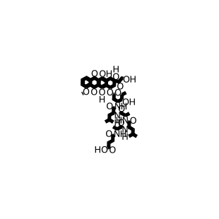 COc1cccc2c1C(=O)c1c(O)c3c(c(O)c1C2=O)CC(O)(C(=O)CO)CC3OC1CC(NC(=O)C(CC(C)C)NC(=O)C(C)NC(=O)C(CC(C)C)NC(=O)C(C)NC(=O)CCC(=O)O)C(O)C(C)O1